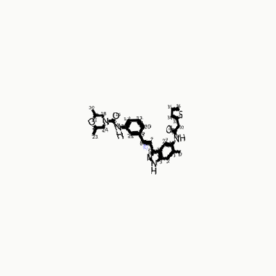 Cc1cc2[nH]nc(/C=C/c3cccc(NC(=O)N4CC(C)OC(C)C4)c3)c2cc1NC(=O)Cc1cccs1